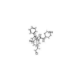 O=C(NC1CCNCC1)C12C[C@@H]3C[C@@](CCCl)(C1)C[C@](c1ccccc1)(C3)C2